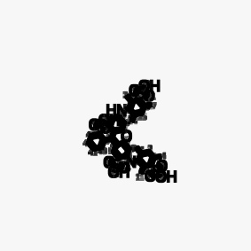 Cc1cc(C)c(S(=O)(=O)O)c(C)c1/N=c1\cc2oc3cc(Nc4c(C)cc(C)c(S(=O)(=O)O)c4C)ccc3c(-c3ccccc3S(=O)(=O)O)c-2cc1S(=O)(=O)O